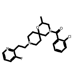 CC1CN(C(=O)c2ccccc2Cl)CC2(CCN(CCc3ncccc3F)CC2)O1